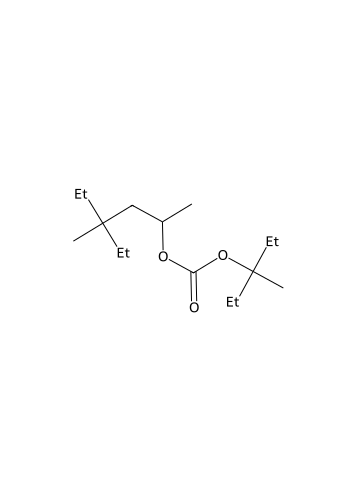 CCC(C)(CC)CC(C)OC(=O)OC(C)(CC)CC